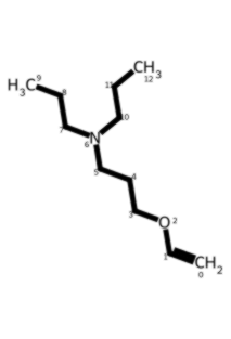 C=COCCCN(CCC)CCC